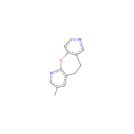 Cc1cnc2c(c1)CCc1cnccc1O2